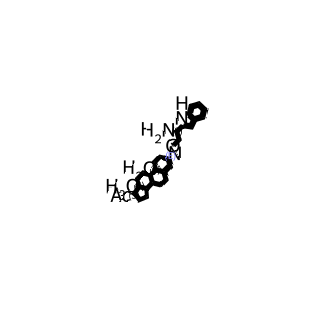 CC(=O)[C@H]1CCC2C3CCC4=C/C(=N/OC[C@@H](N)c5cc6ccccc6[nH]5)CC[C@]4(C)C3CC[C@@]21C